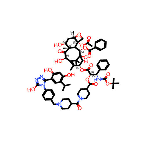 CC(=O)O[C@@]12CO[C@@H]1C[C@H](O)[C@@]1(C)C(=O)[C@H](O)C3=C(C)[C@@H](OC(=O)[C@H](OC(=O)C4CCN(C(=O)C5CCN(Cc6ccc(-n7c(O)nnc7-c7cc(C(C)C)c(O)cc7O)cc6)CC5)CC4)[C@@H](NC(=O)OC(C)(C)C)c4ccccc4)CC(O)([C@@H](OC(=O)c4ccccc4)C12)C3(C)C